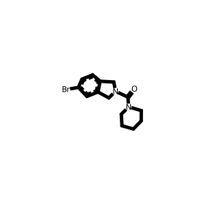 O=C(N1CCCCC1)N1Cc2ccc(Br)cc2C1